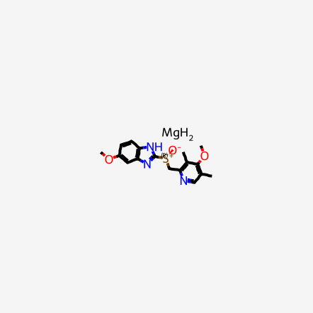 COc1ccc2[nH]c([S@@+]([O-])Cc3ncc(C)c(OC)c3C)nc2c1.[MgH2]